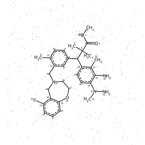 CBC(=O)C(C)(C)C(c1ccc(C)c(CN2CCOc3cccc(F)c3C2)c1)c1ccc(N(C)N)c(N)c1C